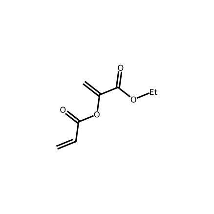 C=CC(=O)OC(=C)C(=O)OCC